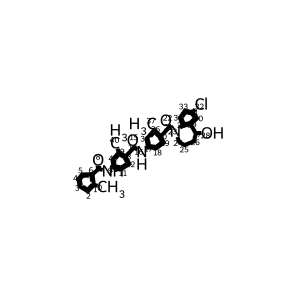 Cc1ccccc1C(=O)Nc1ccc(C(=O)Nc2ccc(C(=O)N3CCCC(O)c4cc(Cl)ccc43)c(C)c2)c(C)c1